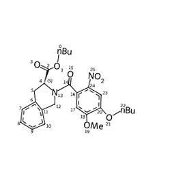 CCCCOC(=O)[C@@H]1Cc2ccccc2CN1C(=O)c1cc(OC)c(OCCCC)cc1[N+](=O)[O-]